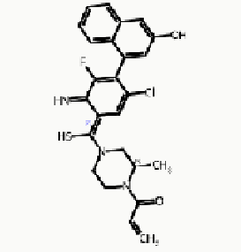 C=CC(=O)N1CCN(/C(S)=C2\C=C(Cl)C(c3cc(O)cc4ccccc34)=C(F)C2=N)C[C@H]1C